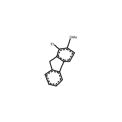 CCc1c(OC)ccc2c1Cc1ccccc1-2